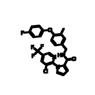 Cc1cc(CNC(=O)c2cccn2-c2ncc(C(F)(F)F)cc2Cl)ccc1Oc1ccc(F)cc1